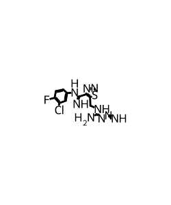 N=N/N=C(/N)NCc1snnc1C(=N)Nc1ccc(F)c(Cl)c1